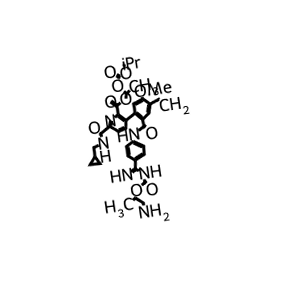 C=Cc1cc(C(=O)Nc2ccc(C(=N)NC(=O)OC(C)CN)cc2)c(-c2ccc(C(=O)NCC3CC3)nc2C(=O)OC(C)OC(=O)OC(C)C)cc1OC